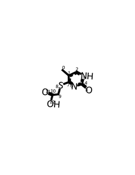 Cc1c[nH]c(=O)nc1SCC(=O)O